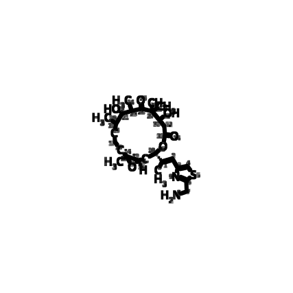 C/C(=C\c1csc(CN)n1)[C@@H]1C[C@@H]2O[C@]2(C)CCCC(C)[C@H](O)C(C)C(=O)C(C)(C)C(O)CC(=O)O1